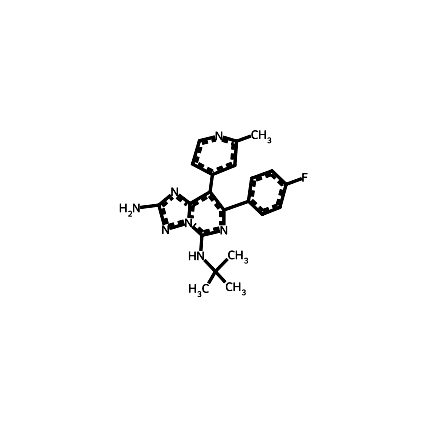 Cc1cc(-c2c(-c3ccc(F)cc3)nc(NC(C)(C)C)n3nc(N)nc23)ccn1